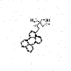 CC(CO)(CO)NCc1ccc2c3cccc4cccc(c5cccc1c52)c43